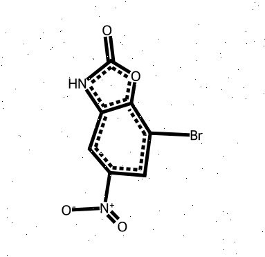 O=c1[nH]c2cc([N+](=O)[O-])cc(Br)c2o1